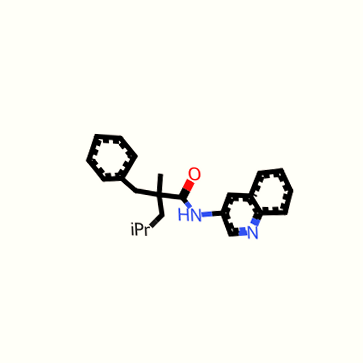 CC(C)CC(C)(Cc1ccccc1)C(=O)Nc1cnc2ccccc2c1